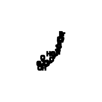 O=Cc1cc(COC[C@H](O)CN2CC3(C2)CN(c2ccc(Br)cc2)C3)ccc1C(=O)O